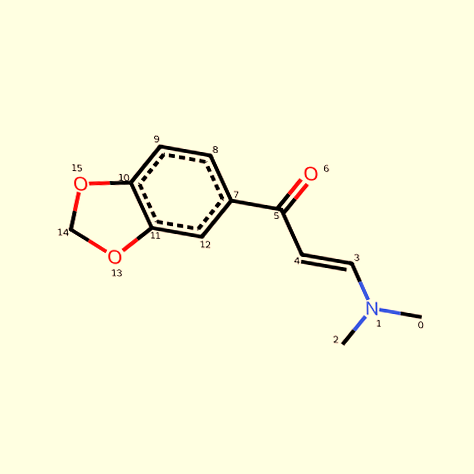 CN(C)/C=C/C(=O)c1ccc2c(c1)OCO2